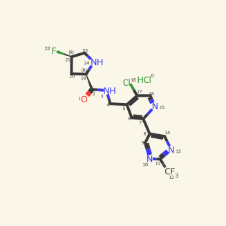 Cl.O=C(NCc1cc(-c2cnc(C(F)(F)F)nc2)ncc1Cl)[C@H]1C[C@@H](F)CN1